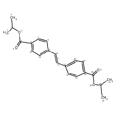 CC(C)OC(=O)c1ccc(/C=C/c2ccc(C(=O)OC(C)C)cc2)cc1